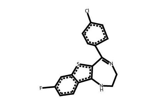 Fc1ccc2c3c(sc2c1)C(c1ccc(Cl)cc1)=NCCN3